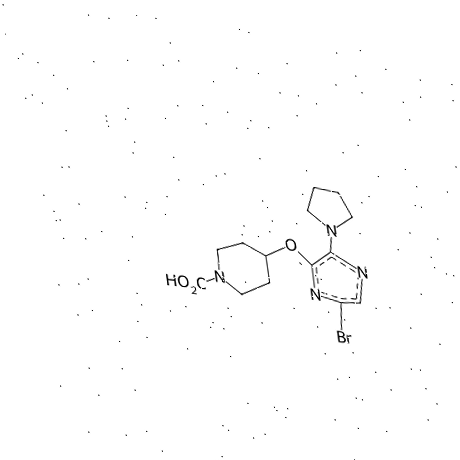 O=C(O)N1CCC(Oc2nc(Br)cnc2N2CCCC2)CC1